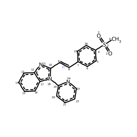 CS(=O)(=O)c1ccc(/C=C/c2nc3ccccc3n2-c2ccccn2)cc1